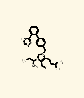 CCC(C)N1CN(Cc2ccc(-c3ccccc3-c3nnn[nH]3)cc2)C(CCC(C)C)=C1CF